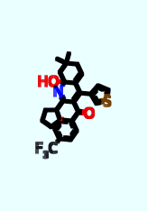 CC1(C)CC=C2C(c3ccsc3)=C(C(=O)c3ccc(C(F)(F)F)cc3)C(C3CCCC3)=NC2(O)C1